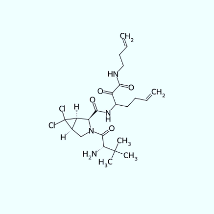 C=CCCNC(=O)C(=O)C(CCC=C)NC(=O)[C@@H]1[C@H]2[C@@H](CN1C(=O)[C@@H](N)C(C)(C)C)C2(Cl)Cl